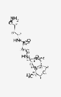 [13CH3][C@@H]1CCC[C@H]([13CH3])[15N]1C[13C](=O)N[13CH2]CC(=O)NCCCON